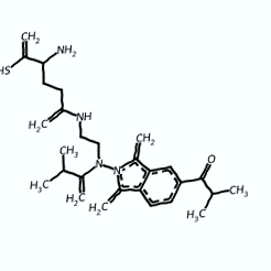 C=C(CCC(N)C(=C)S)NCCN(C(=C)C(C)C)n1c(=C)c2ccc(C(=O)C(C)C)cc2c1=C